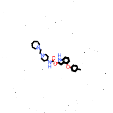 Cc1ccc(Oc2cccc3[nH]c(OC(=O)NC4CCN(CCN5CCCCCC5)CC4)cc23)cc1